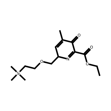 CCOC(=O)C1=NC(COCC[Si](C)(C)C)C=C(C)C1=O